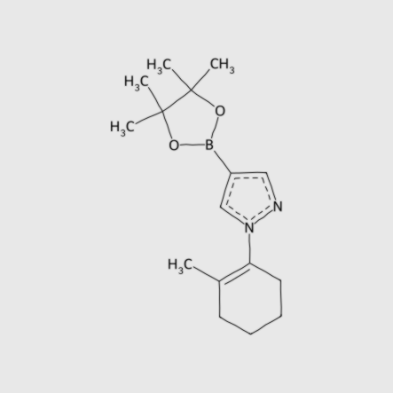 CC1=C(n2cc(B3OC(C)(C)C(C)(C)O3)cn2)CCCC1